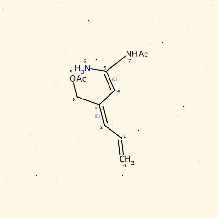 C=C/C=C(\C=C(/N)NC(C)=O)COC(C)=O